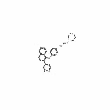 Oc1ccc2c(Cc3ccc(OCCCN4CCCCC4)cc3)c(-c3ccc(O)c(F)c3)ccc2c1